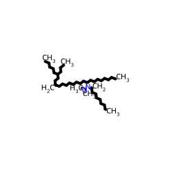 C=C(CCCCCCCCC(CCCCCCCCC)N(C(=C)CCCCCCCC)N(C)C)CCC(CCCC)CCCCCC